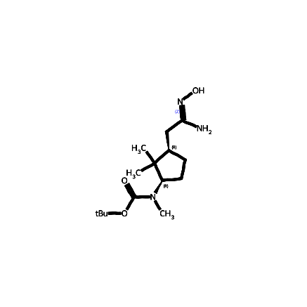 CN(C(=O)OC(C)(C)C)[C@@H]1CC[C@H](C/C(N)=N/O)C1(C)C